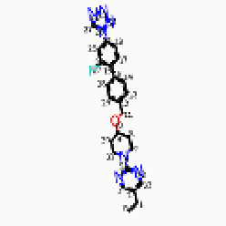 CCc1cnc(N2CCC(OCc3ccc(-c4ccc(-n5cnnn5)cc4F)cc3)CC2)nc1